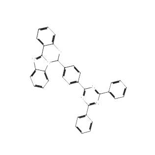 c1ccc(-c2nc(-c3ccccc3)nc(-c3ccc(C4Nc5ccccc5-c5nc6ccccc6n54)cc3)n2)cc1